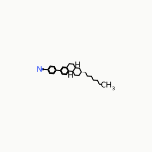 CCCCCCC[C@@H]1CC[C@@H]2c3ccc(-c4ccc(C#N)cc4)cc3CC[C@H]2C1